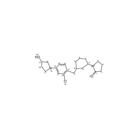 O=C1CCCN1C1CCCC(Cc2ccc(N3CCC(O)C3)cc2Cl)C1